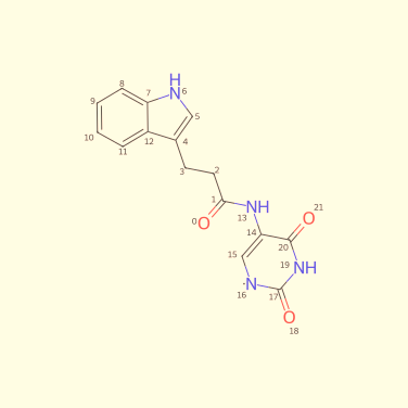 O=C(CCc1c[nH]c2ccccc12)NC1=C[N]C(=O)NC1=O